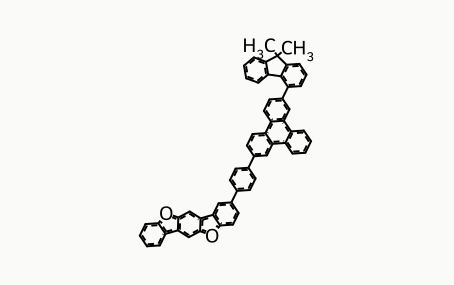 CC1(C)c2ccccc2-c2c(-c3ccc4c5ccc(-c6ccc(-c7ccc8oc9cc%10c(cc9c8c7)oc7ccccc7%10)cc6)cc5c5ccccc5c4c3)cccc21